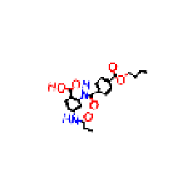 CCCCOC(=O)c1ccc(C(=O)Nc2cc(NC(=O)CC)ccc2C(=O)O)cc1